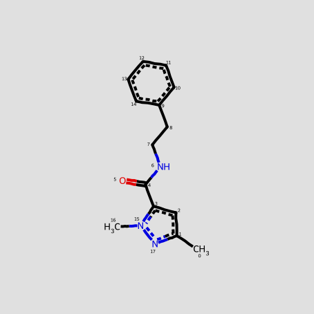 Cc1cc(C(=O)NCCc2ccccc2)n(C)n1